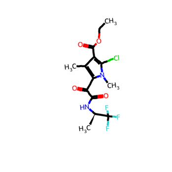 CCOC(=O)c1c(C)c(C(=O)C(=O)N[C@H](C)C(F)(F)F)n(C)c1Cl